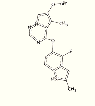 C[CH]COc1cn2ncnc(Oc3ccc4[nH]c(C)cc4c3F)c2c1C